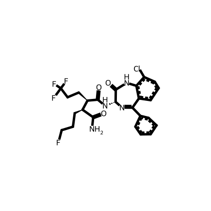 NC(=O)[C@@H](CCCF)[C@@H](CCC(F)(F)F)C(=O)N[C@H]1N=C(c2ccccc2)c2cccc(Cl)c2NC1=O